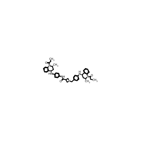 CCC(=O)N1c2ccccc2[C@H](Nc2ccc(CN3CC(C(=O)Nc4ccc(N[C@@H]5C[C@H](C)N(C(=O)CC)c6ccccc65)cc4)C3)cc2)C[C@@H]1C